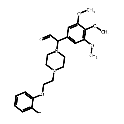 COc1cc(C(C=O)N2CCN(CCOc3ccccc3F)CC2)cc(OC)c1OC